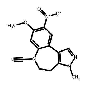 COc1cc2c(cc1[N+](=O)[O-])-c1cnn(C)c1CCN2C#N